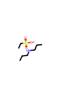 CCCNCCC.CCS(=O)(=O)O